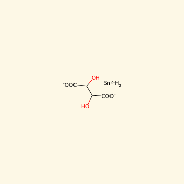 O=C([O-])C(O)C(O)C(=O)[O-].[SnH2+2]